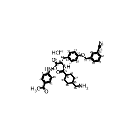 CC(=O)c1ccc(NOC(=O)[C@H](Cc2ccc(OCc3cccc(C#N)c3)cc2)NC(=O)C2CCC(CN)CC2)cc1.Cl